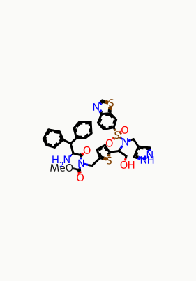 COC(=O)N(Cc1ccc(C(CO)N(Cc2cn[nH]c2)S(=O)(=O)c2ccc3ncsc3c2)s1)C(=O)[C@@H](N)C(c1ccccc1)c1ccccc1